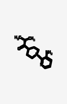 CN(C)C(=O)C1CCN(c2ncccc2N)CC1